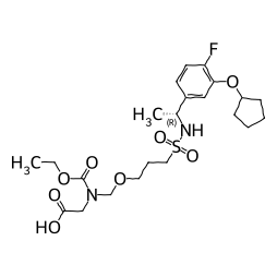 CCOC(=O)N(COCCCS(=O)(=O)N[C@H](C)c1ccc(F)c(OC2CCCC2)c1)CC(=O)O